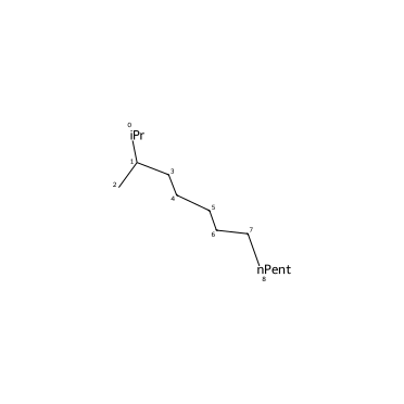 [CH2]C(C)C(C)CCCCCCCCCC